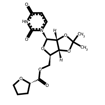 CC1(C)O[C@@H]2[C@H](O1)[C@@H](COC(=O)[C@@H]1CCCO1)O[C@H]2n1ccc(=O)[nH]c1=O